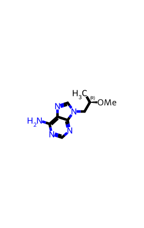 [CH2]O[C@H](C)Cn1cnc2c(N)ncnc21